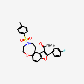 CNC(=O)c1c(-c2ccc(F)cc2)oc2ccc3c(c12)CCN(S(=O)(=O)c1ccc(C)cc1)CCO3